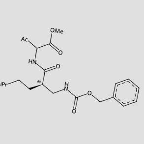 COC(=O)C(NC(=O)[C@H](CCC(C)C)CNC(=O)OCc1ccccc1)C(C)=O